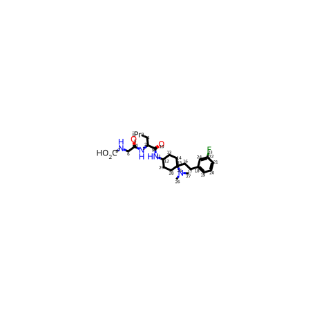 CC(C)CC(NC(=O)CNC(=O)O)C(=O)NC1CCC(CCc2cccc(F)c2)(N(C)C)CC1